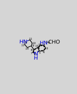 O=CNc1ccc2[nH]cc(C3CCNCC3)c2c1